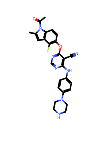 CC(=O)n1c(C)cc2c(F)c(Oc3ncnc(Nc4ccc(N5CCNCC5)cc4)c3C#N)ccc21